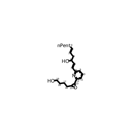 CCCCCC=CCC(O)C=Cc1cccc(C2OC2CCCCO)n1